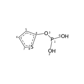 OP(O)Oc1cccs1